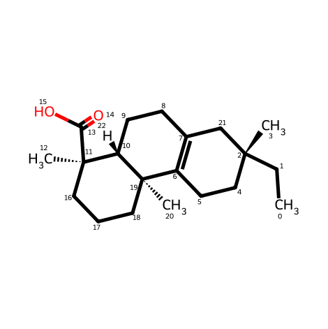 CC[C@]1(C)CCC2=C(CC[C@H]3[C@](C)(C(=O)O)CCC[C@]23C)C1